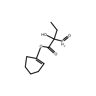 CCC(O)([PH2]=O)C(=O)OC1=CCCCC1